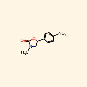 CN1CC(c2ccc([N+](=O)[O-])cc2)OC1=O